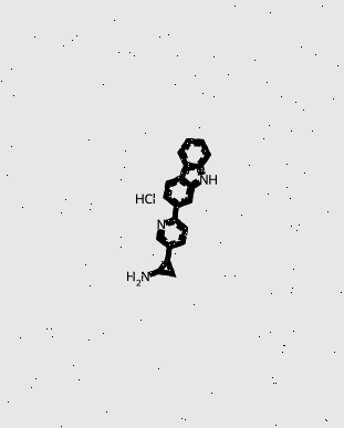 Cl.NC1CC1c1ccc(-c2ccc3c(c2)[nH]c2ccccc23)nc1